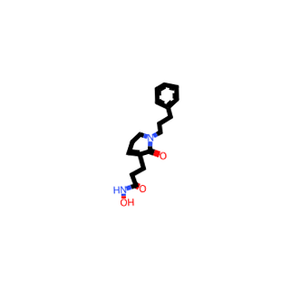 O=C(CCC1=CCCN(CCCc2ccccc2)C1=O)NO